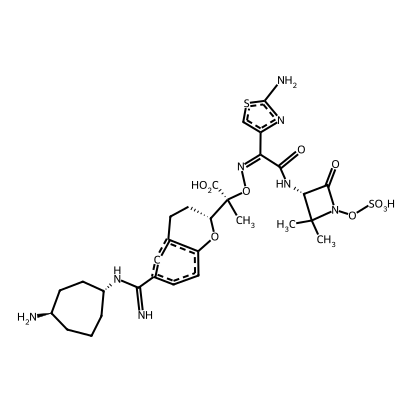 CC1(C)[C@H](NC(=O)/C(=N\O[C@](C)(C(=O)O)[C@H]2CCc3cc(C(=N)N[C@@H]4CCC[C@@H](N)CC4)ccc3O2)c2csc(N)n2)C(=O)N1OS(=O)(=O)O